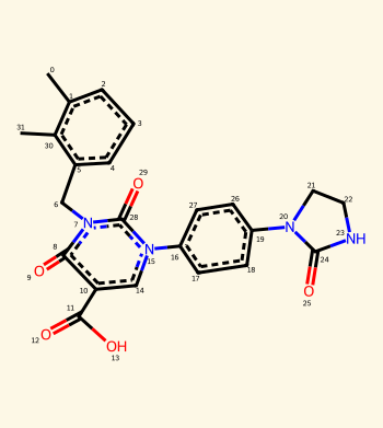 Cc1cccc(Cn2c(=O)c(C(=O)O)cn(-c3ccc(N4CCNC4=O)cc3)c2=O)c1C